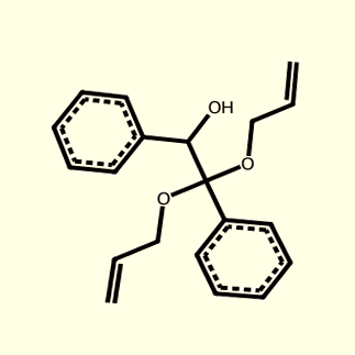 C=CCOC(OCC=C)(c1ccccc1)C(O)c1ccccc1